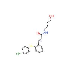 O=C(/C=C/c1ccccc1Sc1ccc(Cl)cc1)NCCCCO